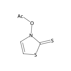 CC(=O)On1ccsc1=S